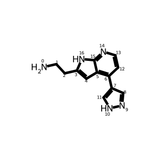 NCCc1cc2c(-c3cn[nH]c3)ccnc2[nH]1